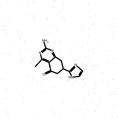 Cc1nc(N)nc2c1C(=O)CC(c1ncc[nH]1)C2